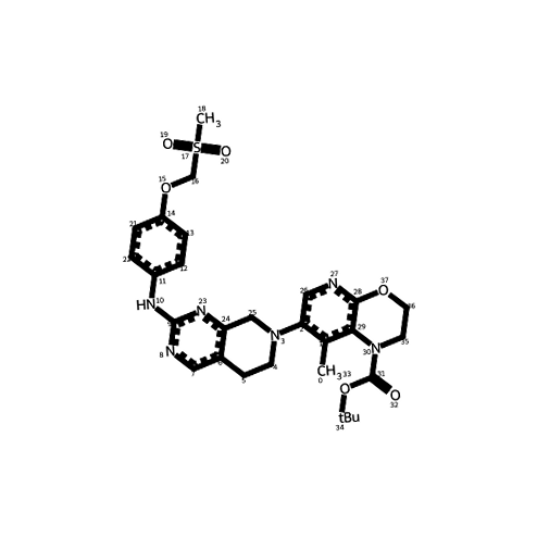 Cc1c(N2CCc3cnc(Nc4ccc(OCS(C)(=O)=O)cc4)nc3C2)cnc2c1N(C(=O)OC(C)(C)C)CCO2